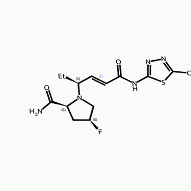 CC[C@@H](/C=C/C(=O)Nc1nnc(C(F)(F)F)s1)N1C[C@@H](F)C[C@H]1C(N)=O